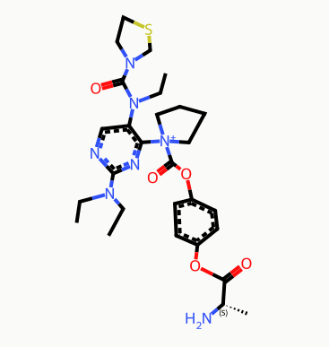 CCN(CC)c1ncc(N(CC)C(=O)N2CCSC2)c([N+]2(C(=O)Oc3ccc(OC(=O)[C@H](C)N)cc3)CCCC2)n1